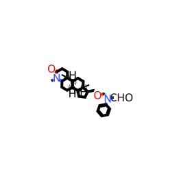 CN1C(=O)CC[C@@]2(C)C1CC[C@@H]1[C@H]2CC[C@]2(C)C(COCN(C=O)c3ccccc3)CC[C@@H]12